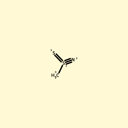 CS(#N)=S